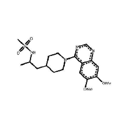 COc1cc2ncnc(N3CCC(CC(C)NS(C)(=O)=O)CC3)c2cc1OC